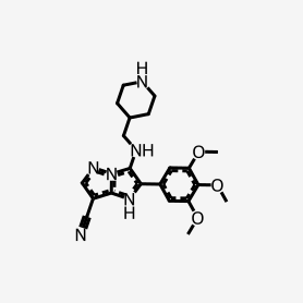 COc1cc(-c2[nH]c3c(C#N)cnn3c2NCC2CCNCC2)cc(OC)c1OC